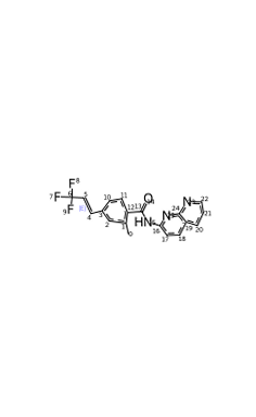 Cc1cc(/C=C/C(F)(F)F)ccc1C(=O)Nc1ccc2cccnc2n1